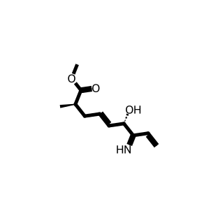 C=CC(=N)[C@@H](O)/C=C/C[C@@H](C)C(=O)OC